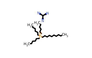 CCCCCCCCCC[PH](CCCCCC)(CCCCCC)CCCCCC.N#CC(C#N)C#N